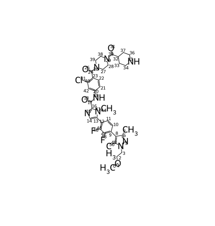 COCCn1nc(C)c(-c2ccc(-c3cnc(C(=O)Nc4ccc(C(=O)N5CCN(C(=O)C6CCNCC6)CC5)c(Cl)c4)n3C)c(F)c2F)c1C